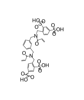 C=CC(=O)N(Cc1cccc(CN(Cc2ccc(S(=O)(=O)O)cc2S(=O)(=O)O)C(=O)C=C)c1)Cc1ccc(S(=O)(=O)O)cc1S(=O)(=O)O